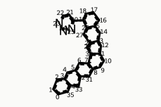 c1ccc2cc3cc4c(ccc5cc6cc7cccc(-c8ccnnn8)c7cc6cc54)cc3cc2c1